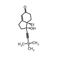 CC[C@]12CCC(=O)C=C1CC[C@@]2(O)C#C[Si](C)(C)C